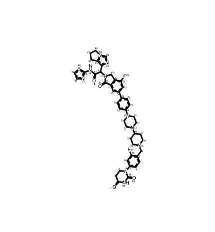 O=C1CCN(c2ccc(CN3CCC(N4CCN(c5ccc(-c6cc(F)c7c(c6)C(=O)N(C(C(=O)Nc6nccs6)c6ncn8c6CCC8)C7)cc5)CC4)CC3)c(F)c2)C(=O)N1